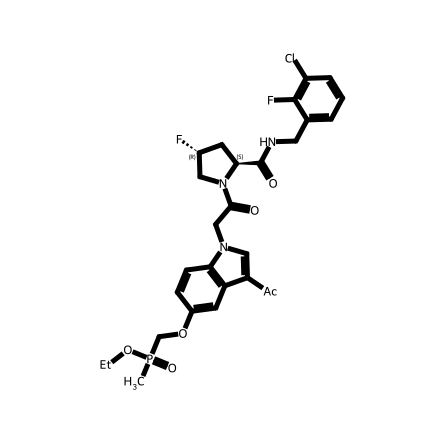 CCOP(C)(=O)COc1ccc2c(c1)c(C(C)=O)cn2CC(=O)N1C[C@H](F)C[C@H]1C(=O)NCc1cccc(Cl)c1F